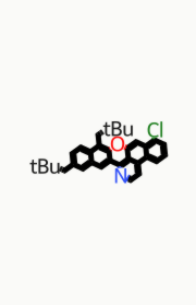 CC(C)(C)Cc1ccc2c(CC(C)(C)C)c3c(cc2c1)-c1nccc2c1c(cc1c(Cl)cccc12)O3